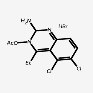 Br.CCC1=c2c(Cl)c(Cl)ccc2=NC(N)N1OC(C)=O